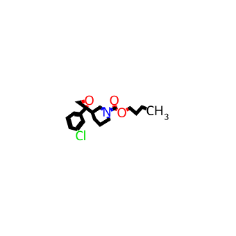 CCCCOC(=O)N1CCCC(C2(c3cccc(Cl)c3)CO2)C1